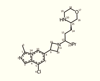 Cc1ncc2c(Cl)cc(C3CN(C(CC[C@@H]4COCCN4)C(C)C)C3)cn12